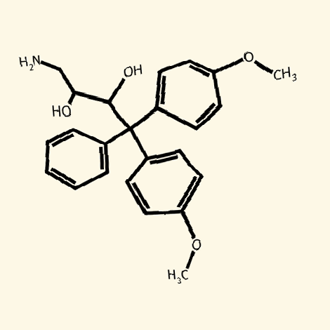 COc1ccc(C(c2ccccc2)(c2ccc(OC)cc2)C(O)C(O)CN)cc1